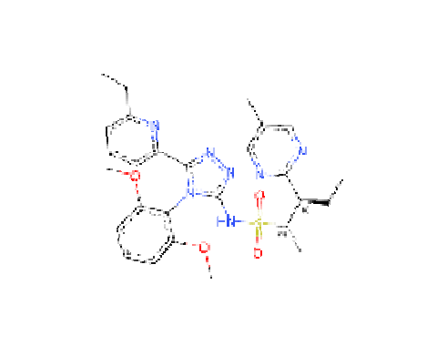 CCc1cccc(-c2nnc(NS(=O)(=O)[C@@H](C)[C@H](CC)c3ncc(C)cn3)n2-c2c(OC)cccc2OC)n1